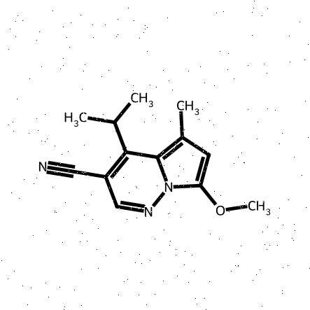 COc1cc(C)c2c(C(C)C)c(C#N)cnn12